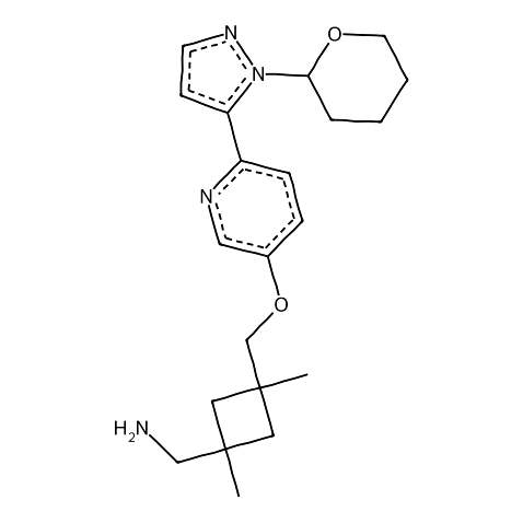 CC1(CN)CC(C)(COc2ccc(-c3ccnn3C3CCCCO3)nc2)C1